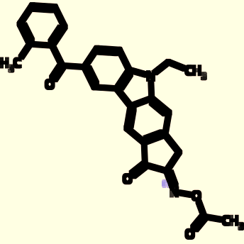 CCn1c2ccc(C(=O)c3ccccc3C)cc2c2cc3c(cc21)C/C(=N\OC(C)=O)C3=O